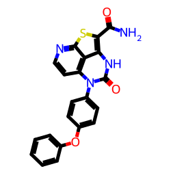 NC(=O)c1sc2nccc3c2c1NC(=O)N3c1ccc(Oc2ccccc2)cc1